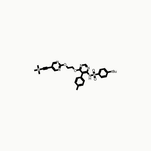 Cc1ccc(-c2c(NS(=O)(=O)c3ccc(C(C)(C)C)cc3)ncnc2OCCOc2ncc(C#C[Si](C)(C)C)cn2)cc1